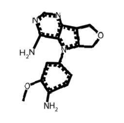 COc1cc(-n2c3c(c4ncnc(N)c42)COC3)ccc1N